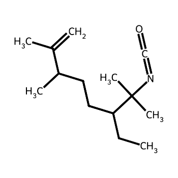 C=C(C)C(C)CCC(CC)C(C)(C)N=C=O